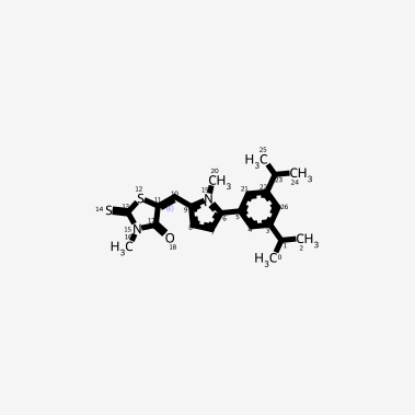 CC(C)c1cc(-c2ccc(/C=C3/SC(=S)N(C)C3=O)n2C)cc(C(C)C)c1